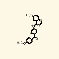 COc1ccc(C(=O)c2ccc(Nc3ncnc4ccc(C)cc34)cc2)cc1